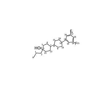 CCCC1(O)CCC(C2CCC(c3cc(F)cc(F)c3)CC2)CC1